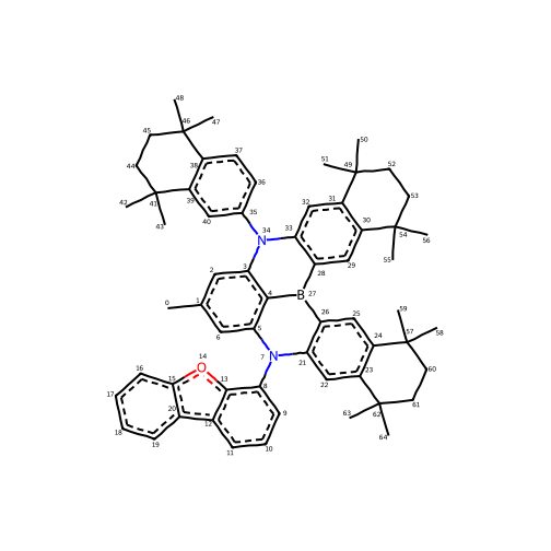 Cc1cc2c3c(c1)N(c1cccc4c1oc1ccccc14)c1cc4c(cc1B3c1cc3c(cc1N2c1ccc2c(c1)C(C)(C)CCC2(C)C)C(C)(C)CCC3(C)C)C(C)(C)CCC4(C)C